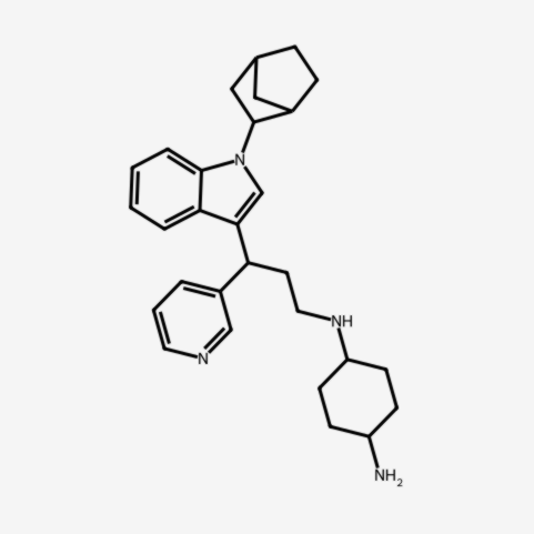 NC1CCC(NCCC(c2cccnc2)c2cn(C3CC4CCC3C4)c3ccccc23)CC1